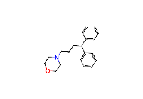 c1ccc(C(CCCN2CCOCC2)c2ccccc2)cc1